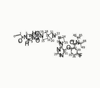 C=CC(=O)N1C[C@@H]2C[C@H]1CN2S(=O)(=O)N1CCC2(CC1)CN(C[C@@H]1CCN(c3ncncc3Oc3ccc(F)cc3C(=O)N(C(C)C)C(C)C)C1)C2